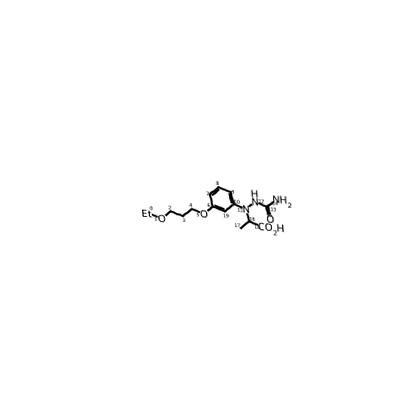 CCOCCCOc1cccc(N(NC(N)=O)C(C)C(=O)O)c1